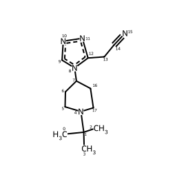 CC(C)(C)N1CCC(n2cnnc2CC#N)CC1